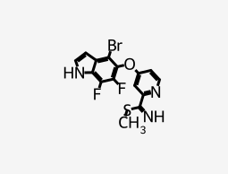 CSC(=N)c1cc(Oc2c(F)c(F)c3[nH]ccc3c2Br)ccn1